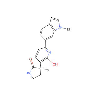 CCn1ccc2ccc(-c3ccc([C@@]4(C)CCNC4=O)c(O)n3)cc21